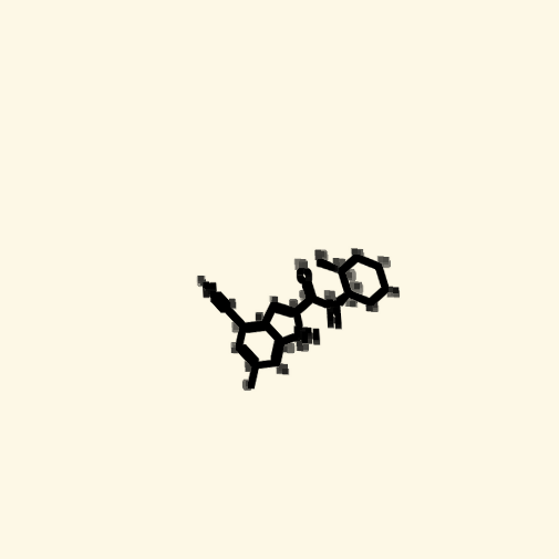 Cc1cc(C#N)c2cc(C(=O)N[C@@H]3CCCC[C@@H]3C)[nH]c2c1